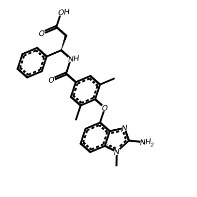 Cc1cc(C(=O)N[C@H](CC(=O)O)c2ccccc2)cc(C)c1Oc1cccc2c1nc(N)n2C